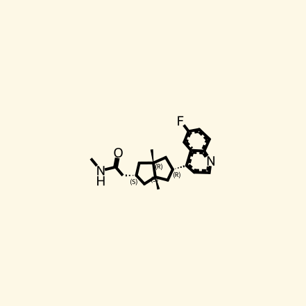 CNC(=O)C[C@H]1C[C@@]2(C)C[C@@H](c3ccnc4ccc(F)cc34)C[C@@]2(C)C1